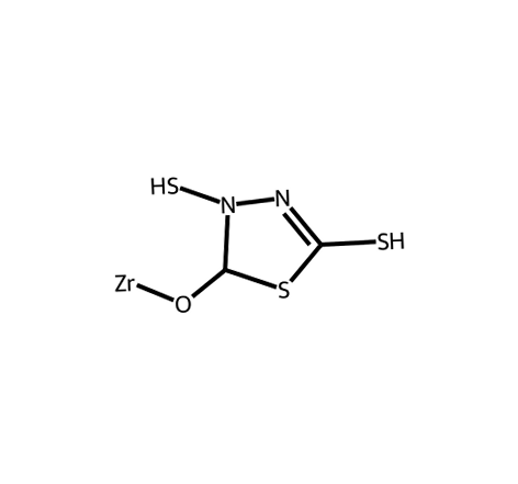 SC1=NN(S)C([O][Zr])S1